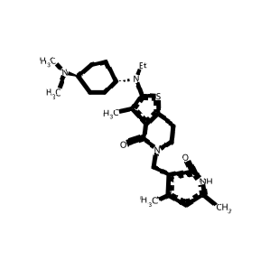 CCN(c1sc2c(c1C)C(=O)N(Cc1c(C)cc(C)[nH]c1=O)CC2)[C@H]1CC[C@H](N(C)C)CC1